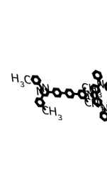 Cc1cccc(-c2cc(-c3ccc(-c4ccc(-c5cc(C)c(-n6c7ccc(N(c8ccccc8)c8ccccc8)cc7c7cc(N(c8ccccc8)c8ccccc8)ccc76)c(C)c5)cc4)cc3)nc(-c3cccc(C)c3)n2)c1